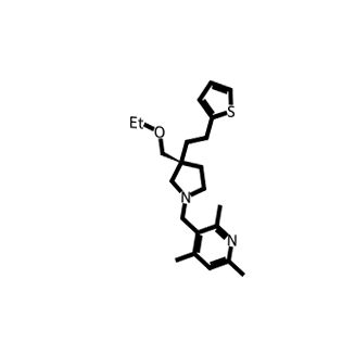 CCOC[C@@]1(CCc2cccs2)CCN(Cc2c(C)cc(C)nc2C)C1